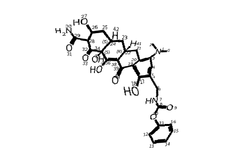 CN(C)c1cc(CNC(=O)Oc2ccccc2)c(O)c2c1C[C@H]1C[C@H]3CC(O)C(C(N)=O)C(=O)[C@@]3(O)C(O)=C1C2=O